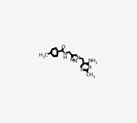 Cc1ccc(C(=O)NCc2cn(Cc3cnc(C)nc3N)nn2)cc1